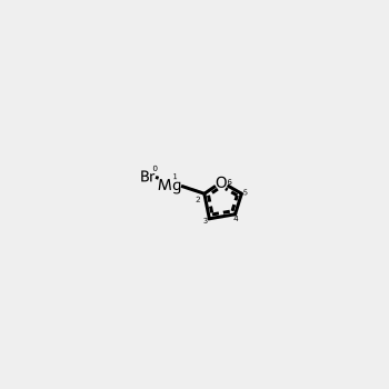 [Br][Mg][c]1ccco1